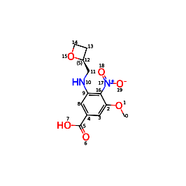 COc1cc(C(=O)O)cc(NC[C@@H]2CCO2)c1[N+](=O)[O-]